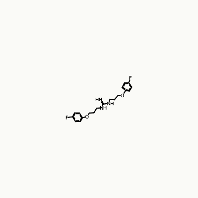 N=C(NCCCOc1ccc(F)cc1)NCCCOc1ccc(F)cc1